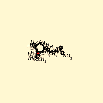 CC[C@H]1OC(=O)[C@H](C)[C@@H](O[C@H]2C[C@@](C)(OC)[C@@H](O)[C@H](C)O2)[C@H](C)[C@@H](O[C@H]2C[C@@H](N(C)CCc3cn(C[C@@H]4CCCN4Cc4ccc([N+](=O)[O-])cc4)nn3)C[C@@H](C)O2)[C@](C)(O)C[C@@H](C)CN(C)[C@H](C)[C@@H](O)[C@]1(C)O